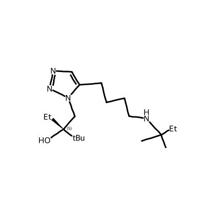 CCC(C)(C)NCCCCc1cnnn1C[C@](O)(CC)C(C)(C)C